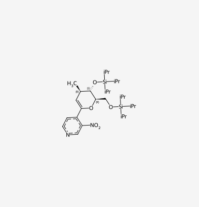 CC(C)[Si](OC[C@H]1OC(c2ccncc2[N+](=O)[O-])=C[C@@H](C)[C@@H]1O[Si](C(C)C)(C(C)C)C(C)C)(C(C)C)C(C)C